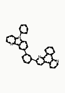 c1ccc(-n2c3ccc(-c4cccc(-c5ccc6c7cccnc7c7ccccc7c6n5)c4)cc3c3ncccc32)cc1